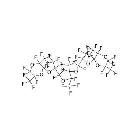 FC(F)(F)C1(F)OC(F)(OC(F)(C(F)(F)F)C(F)(F)OC(F)(C(F)(F)F)C(F)(OC(F)(F)C(F)(OC2(F)OC(F)(C(F)(F)F)C(F)(F)OC2(F)C(F)(F)F)C(F)(F)F)C(F)(F)F)C(F)(C(F)(F)F)OC1(F)F